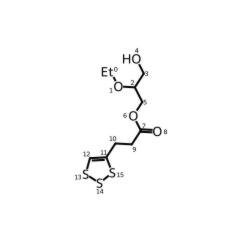 CCOC(CO)COC(=O)CCC1=CSSS1